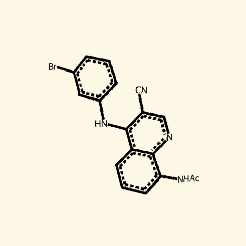 CC(=O)Nc1cccc2c(Nc3cccc(Br)c3)c(C#N)cnc12